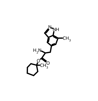 Cc1cc(CC(N)C(=O)OC2(C)CCCCC2)cc2cn[nH]c12